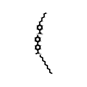 CCCCCCCCCCOC(C)c1ccc(-c2ccc(OC(=O)c3ccc(CCCCCC)cc3)cc2)cc1